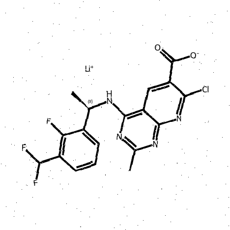 Cc1nc(N[C@H](C)c2cccc(C(F)F)c2F)c2cc(C(=O)[O-])c(Cl)nc2n1.[Li+]